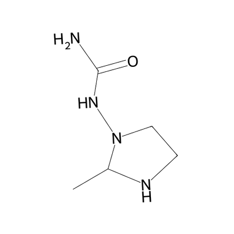 CC1NCCN1NC(N)=O